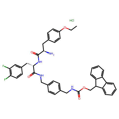 CCOc1ccc(C[C@@H](N)C(=O)N[C@@H](Cc2ccc(F)c(F)c2)C(=O)NCc2ccc(CNC(=O)OCC3c4ccccc4-c4ccccc43)cc2)cc1.Cl